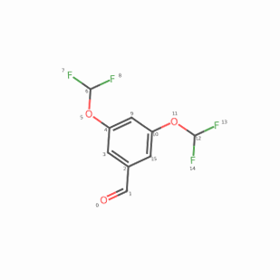 O=Cc1cc(OC(F)F)cc(OC(F)F)c1